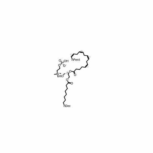 CCCCC/C=C\C/C=C\C/C=C\C/C=C\CCCC(=O)O[C@@H](CO)COC(=O)CCCCCCCCCCCCCCCCC.C[N+](C)(C)CCOP(=O)([O-])O